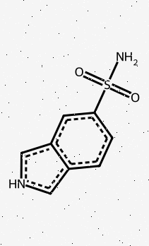 NS(=O)(=O)c1ccc2c[nH]cc2c1